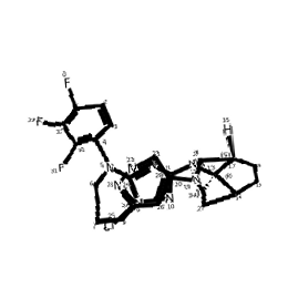 Fc1ccc(N2CCCn3nc(N[C@@H]4C5CC[C@H]4CN(c4cnnc(Cl)c4)C5)nc32)c(F)c1F